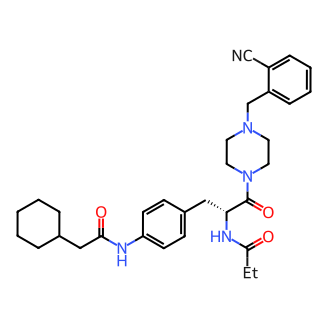 CCC(=O)N[C@H](Cc1ccc(NC(=O)CC2CCCCC2)cc1)C(=O)N1CCN(Cc2ccccc2C#N)CC1